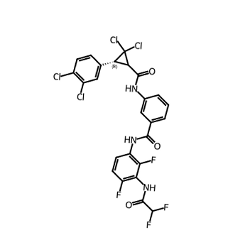 O=C(Nc1ccc(F)c(NC(=O)C(F)F)c1F)c1cccc(NC(=O)C2[C@H](c3ccc(Cl)c(Cl)c3)C2(Cl)Cl)c1